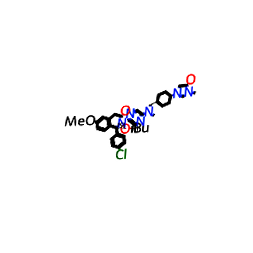 CC[C@@H](C)O[N@@+]1(c2cnc(N(C)C[C@H]3CC[C@H](N4CC(=O)N(C)C4)CC3)cn2)C(=O)Cc2cc(OC)ccc2C1c1ccc(Cl)cc1